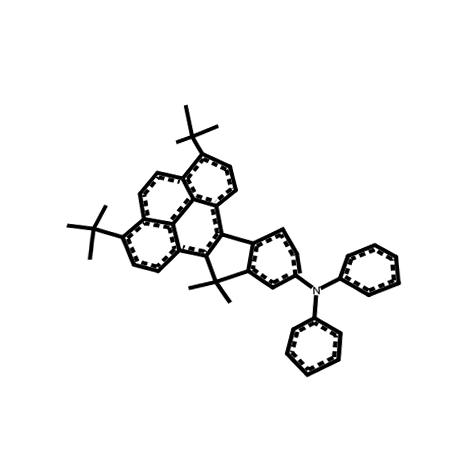 CC(C)(C)c1ccc2c3c(c4ccc(C(C)(C)C)c5ccc1c2c54)C(C)(C)c1cc(N(c2ccccc2)c2ccccc2)ccc1-3